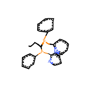 CCC(P(c1ccccc1)c1ccccn1)P(c1ccccc1)c1ccccn1